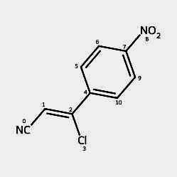 N#CC=C(Cl)c1ccc([N+](=O)[O-])cc1